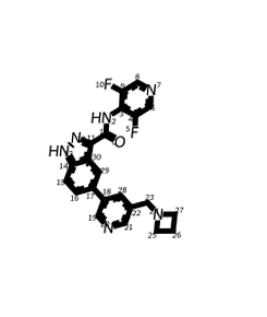 O=C(Nc1c(F)cncc1F)c1n[nH]c2ccc(-c3cncc(CN4CCC4)c3)cc12